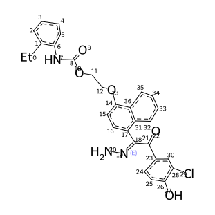 CCc1ccccc1NC(=O)OCCOc1ccc(/C(=N\N)C(=O)c2ccc(O)c(Cl)c2)c2ccccc12